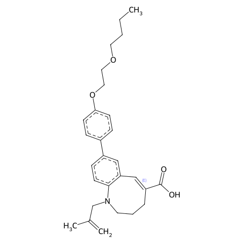 C=C(C)CN1CCC/C(C(=O)O)=C\c2cc(-c3ccc(OCCOCCCC)cc3)ccc21